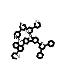 c1ccc(-c2cc(-c3ccccc3)nc(-c3ccc4c(c3)c3cc5c(cc3n4-c3cc(-c4cccnc4)ccn3)N(c3cc(-c4cccnc4)ccn3)c3cccc4c(-c6ccccn6)ccc-5c34)c2)cc1